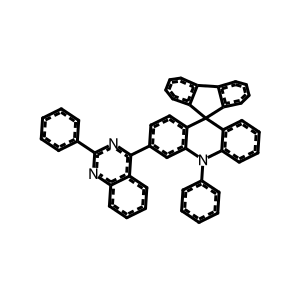 c1ccc(-c2nc(-c3ccc4c(c3)N(c3ccccc3)c3ccccc3C43c4ccccc4-c4ccccc43)c3ccccc3n2)cc1